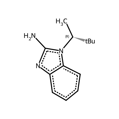 C[C@@H](n1c(N)nc2ccccc21)C(C)(C)C